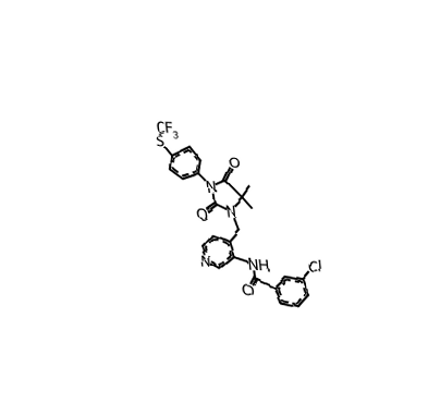 CC1(C)C(=O)N(c2ccc(SC(F)(F)F)cc2)C(=O)N1Cc1ccncc1NC(=O)c1cccc(Cl)c1